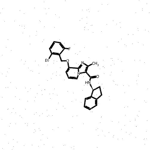 CCc1cccc(F)c1COc1cccn2c(C(=O)N[C@H]3CCc4ccccc43)c(C)nc12